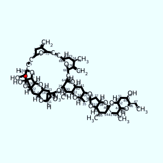 C=C1CC2CC[C@@]34OC5[C@H]6O[C@H](CC[C@@H]6O[C@H]6C(O3)[C@](O)(O[C@@H]56)[C@H]4O)CC(=O)O[C@@H]3[C@@H](C)[C@@H]4O[C@@H]5C[C@@]6(C[C@@H]7O[C@]8(C[C@H](C)[C@@H]9O[C@H](CC)[C@H](O)C[C@@H]9O8)C[C@H](C)[C@@H]7O6)OC5C[C@@H]4O[C@H]3CC3O[C@@H](CCC1O2)C[C@@H](C)C3=C